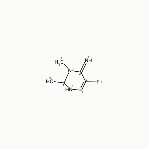 CN1C(=N)C(F)=CNC1O